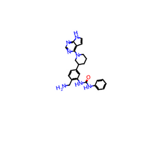 NCc1ccc(C2CCCN(c3ncnc4[nH]ccc34)C2)cc1NC(=O)Nc1ccccc1